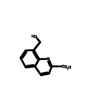 O=C(O)c1ccc2cccc(CO)c2n1